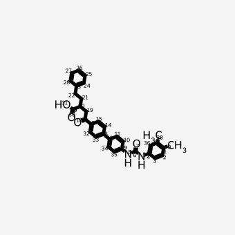 Cc1ccc(NC(=O)Nc2ccc(-c3ccc(C(=O)CC(CCc4ccccc4)C(=O)O)cc3)cc2)cc1C